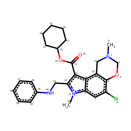 CN1COc2c(Br)cc3c(c2C1)c(C(=O)OC1CCCCC1)c(CNc1ccccc1)n3C